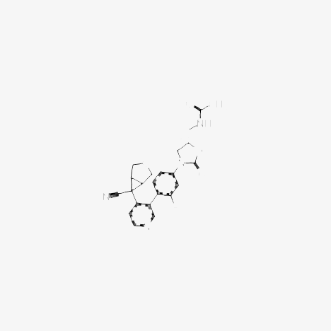 CC(=O)NC[C@H]1CN(c2ccc(-c3cnccc3C3(C#N)C4COCC43)c(F)c2)C(=O)O1